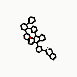 c1ccc(-c2cccc(-c3ccccc3)c2-c2cccc(-c3c4ccccc4c(-c4cccc(-c5cc6ccccc6cn5)c4)c4ccccc34)c2)cc1